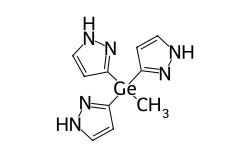 [CH3][Ge]([c]1cc[nH]n1)([c]1cc[nH]n1)[c]1cc[nH]n1